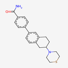 NC(=O)c1ccc(-c2ccc3c(c2)CCC(N2CCSCC2)C3)cc1